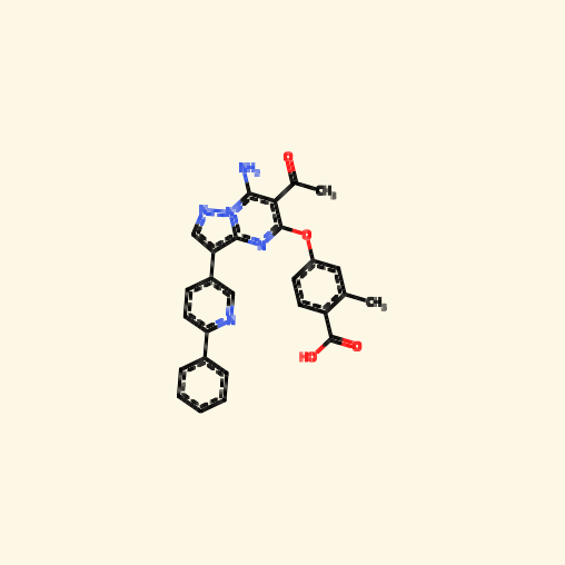 CC(=O)c1c(Oc2ccc(C(=O)O)c(C)c2)nc2c(-c3ccc(-c4ccccc4)nc3)cnn2c1N